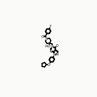 O=C(c1ccc(F)cc1)N1CCC(O)(Cn2cnc3c(cnn3-c3ccc(OC4CCCC4)cc3)c2=O)CC1